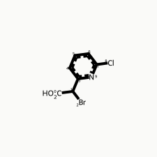 O=C(O)C(Br)c1cccc(Cl)n1